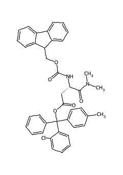 Cc1ccc(C(OC(=O)C[C@H](NC(=O)OCC2c3ccccc3-c3ccccc32)C(=O)N(C)C)(c2ccccc2)c2ccccc2Cl)cc1